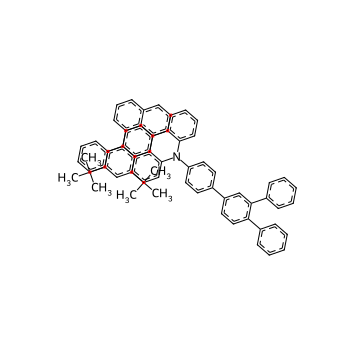 CC(C)(C)c1cc(-c2cccc3cccc(-c4ccccc4N(c4ccc(-c5ccc(-c6ccccc6)c(-c6ccccc6)c5)cc4)c4ccccc4-c4ccc(-c5ccccc5)cc4)c23)cc(C(C)(C)C)c1